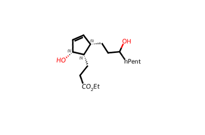 CCCCCC(O)CC[C@H]1C=C[C@@H](O)[C@H]1CCC(=O)OCC